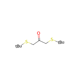 CC(C)(C)SCC(=O)CSC(C)(C)C